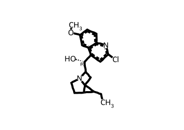 CCC1C2CCN3C([C@H](O)c4cc(Cl)nc5ccc(OC)cc45)CC123